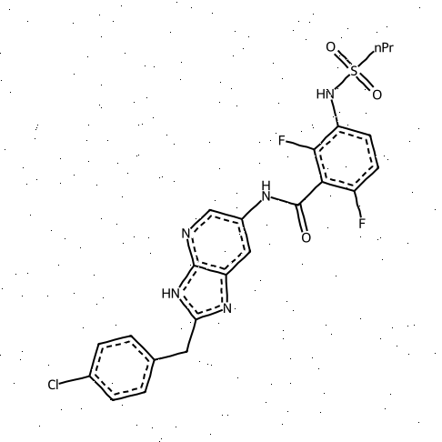 CCCS(=O)(=O)Nc1ccc(F)c(C(=O)Nc2cnc3[nH]c(Cc4ccc(Cl)cc4)nc3c2)c1F